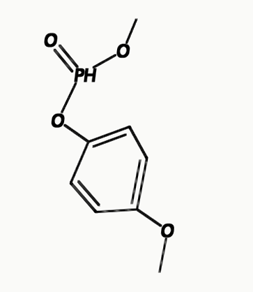 COc1ccc(O[PH](=O)OC)cc1